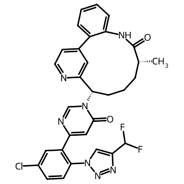 C[C@@H]1CCC[C@H](n2cnc(-c3cc(Cl)ccc3-n3cc(C(F)F)nn3)cc2=O)c2cc(ccn2)-c2ccccc2NC1=O